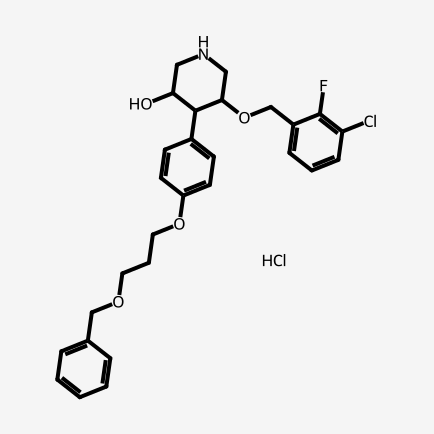 Cl.OC1CNCC(OCc2cccc(Cl)c2F)C1c1ccc(OCCCOCc2ccccc2)cc1